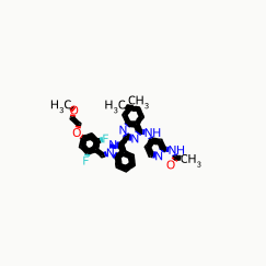 COCCOc1cc(F)c(Cn2nc(-c3nc4c(c(Nc5ccnc(NC(C)=O)c5)n3)CCC(C)(C)C4)c3ccccc32)c(F)c1